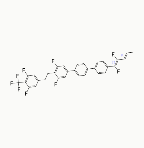 C/C=C/C(F)=C(\F)c1ccc(-c2ccc(-c3cc(F)c(CCc4cc(F)c(C(F)(F)F)c(F)c4)c(F)c3)cc2)cc1